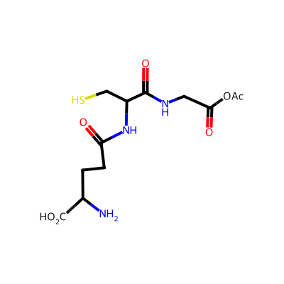 CC(=O)OC(=O)CNC(=O)C(CS)NC(=O)CCC(N)C(=O)O